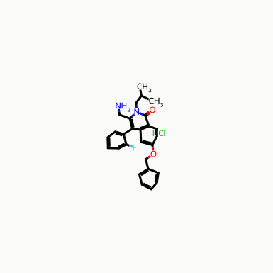 CC(C)Cn1c(CN)c(-c2ccccc2F)c2cc(OCc3ccccc3)ccc2c1=O.Cl